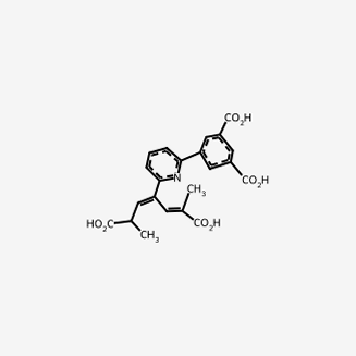 C/C(=C\C(=C/C(C)C(=O)O)c1cccc(-c2cc(C(=O)O)cc(C(=O)O)c2)n1)C(=O)O